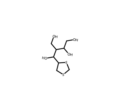 OCC(O)C(CO)C(O)C1CSCS1